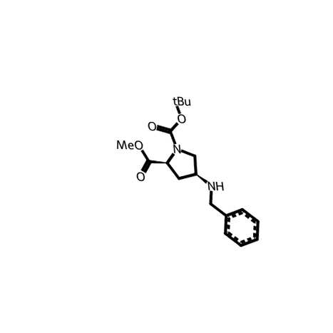 COC(=O)[C@@H]1C[C@H](NCc2ccccc2)CN1C(=O)OC(C)(C)C